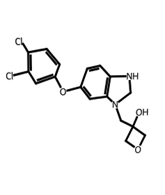 OC1(CN2CNc3ccc(Oc4ccc(Cl)c(Cl)c4)cc32)COC1